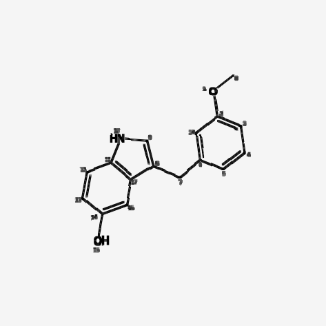 COc1cccc(Cc2c[nH]c3ccc(O)cc23)c1